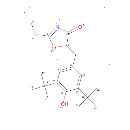 CSC1=NC(=O)/C(=C/c2cc(C(C)(C)C)c(O)c(C(C)(C)C)c2)O1